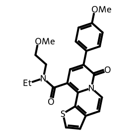 CCN(CCOC)C(=O)c1cc(-c2ccc(OC)cc2)c(=O)n2ccc3ccsc3c12